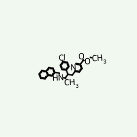 CCOC(=O)c1ccc(CC(c2ccc(Cl)cc2)C(C)NCc2ccc3ccccc3c2)nc1